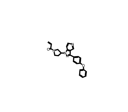 C=CC(=O)N1CCC(n2nc(-c3ccc(Oc4ccccc4)cc3)c3cnccc32)C1